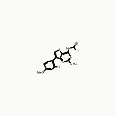 CCC(CC)Nc1nc(NC)nc2c(-c3ccc(OC)cc3Cl)csc12